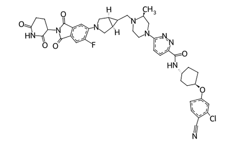 C[C@H]1CN(c2ccc(C(=O)N[C@H]3CC[C@H](Oc4ccc(C#N)c(Cl)c4)CC3)nn2)CCN1CC1[C@H]2CN(c3cc4c(cc3F)C(=O)N(C3CCC(=O)NC3=O)C4=O)C[C@@H]12